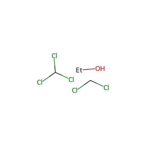 CCO.ClC(Cl)Cl.ClCCl